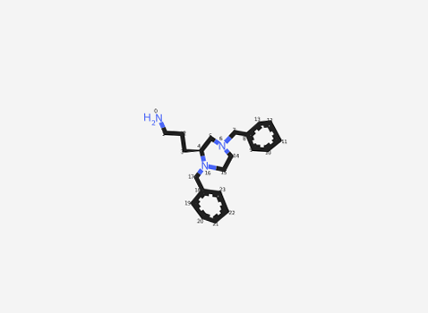 NCCC[C@H]1CN(Cc2ccccc2)CCN1Cc1ccccc1